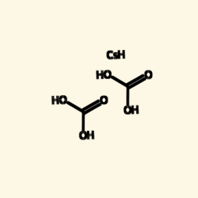 O=C(O)O.O=C(O)O.[CsH]